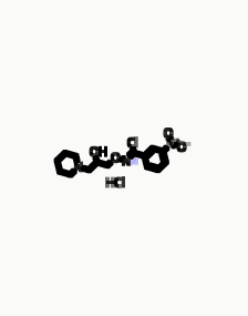 Cl.O=[N+]([O-])c1cccc(/C(Cl)=N/OCC(O)CN2CCCCC2)c1